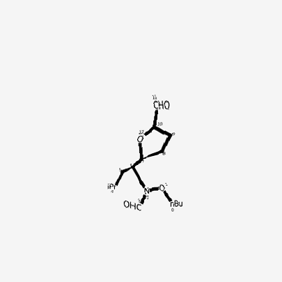 CCCCON(C=O)[C@@H](CC(C)C)[C@@H]1CCC(C=O)O1